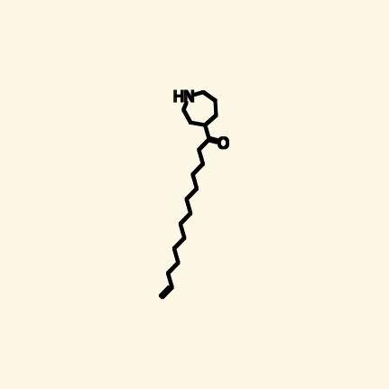 C=CCCCCCCCCCCCC(=O)C1CCCNCC1